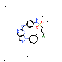 O=S(=O)(CCCCl)Nc1ccc(Nc2ncc3cnn(C4CCCCCC4)c3n2)cc1